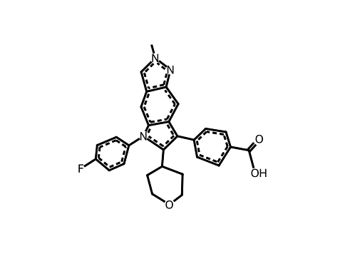 Cn1cc2cc3c(cc2n1)c(-c1ccc(C(=O)O)cc1)c(C1CCOCC1)n3-c1ccc(F)cc1